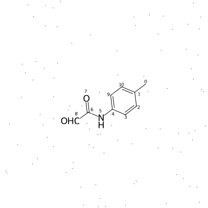 Cc1ccc(NC(=O)C=O)cc1